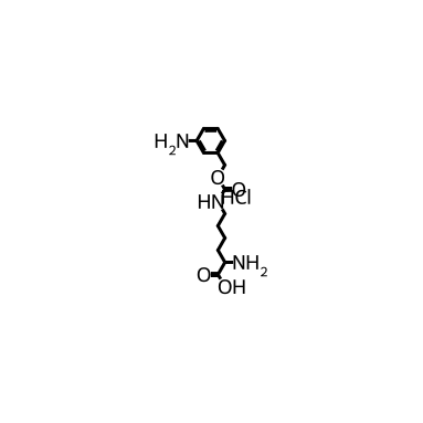 Cl.Nc1cccc(COC(=O)NCCCCC(N)C(=O)O)c1